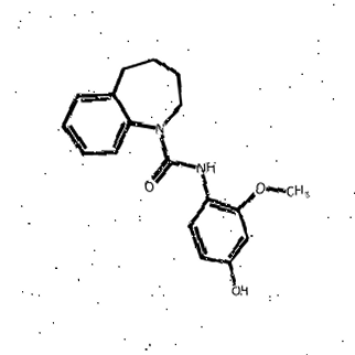 COc1cc(O)ccc1NC(=O)N1CCCCc2ccccc21